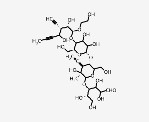 C#C[C@@H](C(O)C#CC)[C@H](O)[C@@H](OCCO)O[C@H]1C(O)C(O)[C@H](O[C@H]2C(=C=C)[C@](C)(O)C(O[C@@H](C(O)C(O)C=O)[C@@H](O)CO)OC2CO)O[C@H]1CO